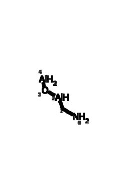 N[CH2][AlH][O][AlH2]